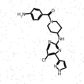 Nc1ccc(C(=O)N2CCC(Nc3ncc(Cl)c(-c4cc[nH]n4)n3)CC2)cc1